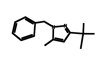 Cc1cc(C(C)(C)C)nn1Cc1ccccc1